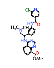 COC(=O)c1cccc2c(NC(CN(C)C)c3cccc(NC(=O)c4ccnc(Cl)c4)c3)ncnc12